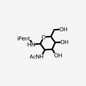 CCCC(C)NC1OC(CO)C(O)C(O)C1NC(C)=O